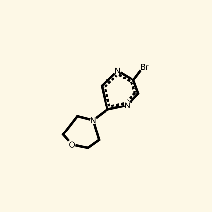 Brc1cnc(N2CCOCC2)cn1